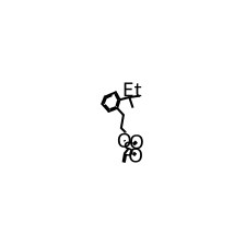 C=CS(=O)(=O)OCCCc1ccccc1C(C)(C)CC